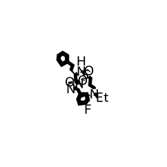 CCN(CC)CCCS(=O)(=O)N[C@H](CCc1ccccc1)c1nc(-c2ccc(F)cc2)no1